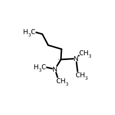 CCCC[C](N(C)C)N(C)C